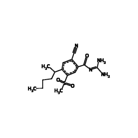 CCCCC(C)c1cc(C#N)c(C(=O)N=C(N)N)cc1S(C)(=O)=O